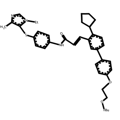 CCCCOCCOc1ccc(-c2ccc(C3CCCC3)c(/C=C/C(=O)Nc3ccc(Sc4c(C)ncn4CC)cc3)c2)cc1